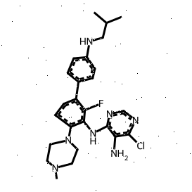 CC(C)CNc1ccc(-c2ccc(N3CCN(C)CC3)c(Nc3ncnc(Cl)c3N)c2F)cc1